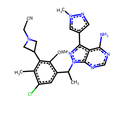 COc1c(C(C)n2nc(-c3cnn(C)c3)c3c(N)ncnc32)cc(Cl)c(C)c1C1CN(CC#N)C1